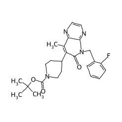 Cc1c(C2CCN(C(=O)OC(C)(C)C)CC2)c(=O)n(Cc2ccccc2F)c2nccnc12